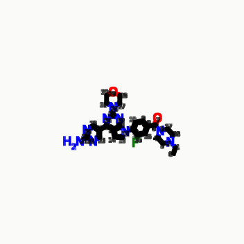 CCN1CCN(C(=O)c2ccc(-n3ccc4c(-c5cnc(N)nc5)nc(N5CCOCC5)nc43)c(F)c2)CC1